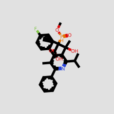 C#CC(C(=O)O)([PH](=O)OC)C(C)(O)c1c(C(C)C)nc(-c2ccccc2)c(C)c1-c1ccc(F)cc1